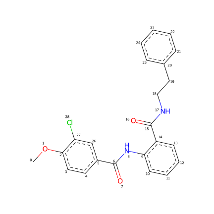 COc1ccc(C(=O)Nc2ccccc2C(=O)NCCc2ccccc2)cc1Cl